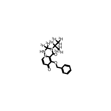 [2H]C1([2H])Nn2ccc(=O)c(OCc3ccccc3)c2C(=O)N1C([2H])(C([2H])([2H])[2H])C([2H])([2H])[2H]